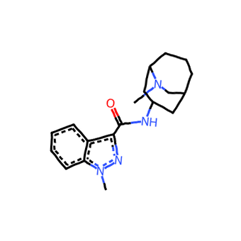 CN1CC2CCCC1CC(NC(=O)c1nn(C)c3ccccc13)C2